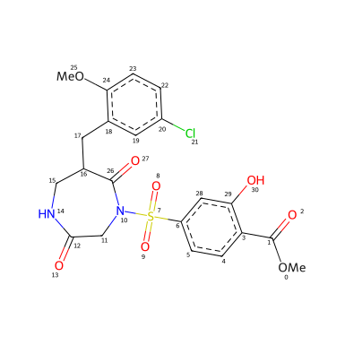 COC(=O)c1ccc(S(=O)(=O)N2CC(=O)NCC(Cc3cc(Cl)ccc3OC)C2=O)cc1O